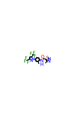 Cc1cc(-n2nc(C(F)(F)F)cc2C(F)(F)F)ccc1NC(=O)c1snnc1C